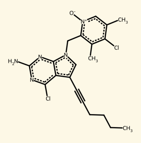 CCCCC#Cc1cn(Cc2c(C)c(Cl)c(C)c[n+]2[O-])c2nc(N)nc(Cl)c12